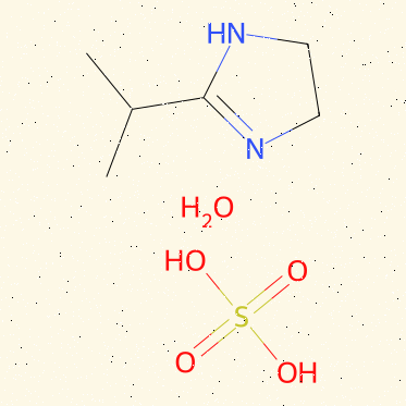 CC(C)C1=NCCN1.O.O=S(=O)(O)O